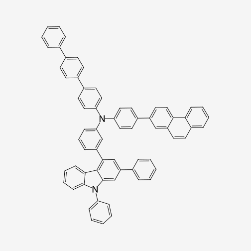 c1ccc(-c2ccc(-c3ccc(N(c4ccc(-c5ccc6c(ccc7ccccc76)c5)cc4)c4cccc(-c5cc(-c6ccccc6)cc6c5c5ccccc5n6-c5ccccc5)c4)cc3)cc2)cc1